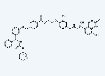 Cc1cc(CNC[C@H](O)c2ccc(O)c3[nH]c(=O)ccc23)ccc1OCCOC(=O)c1ccc(COc2cccc(C(NC(=O)OC3CN4CCC3CC4)c3ccccc3)c2)cc1